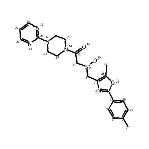 Cc1ccc(-c2nc(C[S+]([O-])CC(=O)N3CCN(c4ncccn4)CC3)c(C)o2)cc1